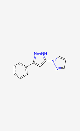 C1=C[N+](c2cc(-c3ccccc3)n[nH]2)N=C1